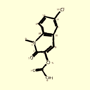 Cn1c(=O)c(OC(=O)O)cc2cc(Cl)ccc21